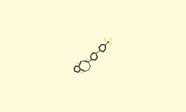 FC(F)(F)c1ccc(-c2ccc(/C3=C/C=c4/cccc/c4=C/CC3)cc2)cc1